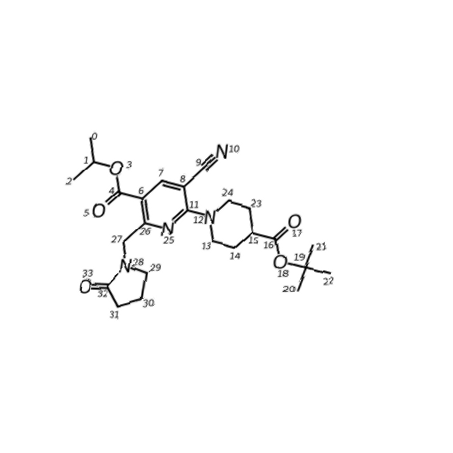 CC(C)OC(=O)c1cc(C#N)c(N2CCC(C(=O)OC(C)(C)C)CC2)nc1CN1CCCC1=O